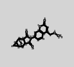 COCc1cc(=O)oc2cc(N3C(=O)C4C5CCC(C6CC65)C4C3=O)ccc12